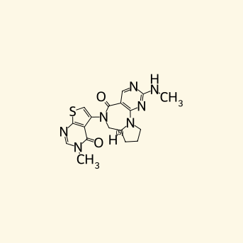 CNc1ncc2c(n1)N1CCC[C@H]1CN(c1csc3ncn(C)c(=O)c13)C2=O